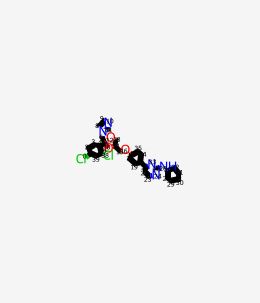 Clc1ccc(C2(Cn3ccnc3)OCC(COc3ccc(-c4ccnc(Nc5ccccc5)n4)cc3)O2)c(Cl)c1